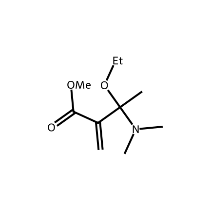 C=C(C(=O)OC)C(C)(OCC)N(C)C